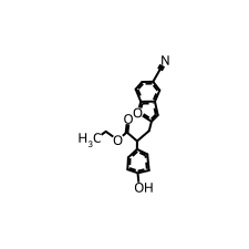 CCOC(=O)C(Cc1cc2cc(C#N)ccc2o1)c1ccc(O)cc1